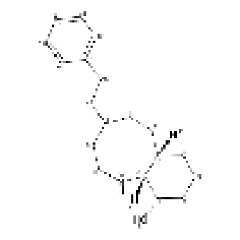 O[C@H]1CCC[C@H]2CCC(CCc3ccccc3)CCN[C@H]21